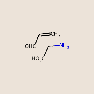 C=CC=O.NCC(=O)O